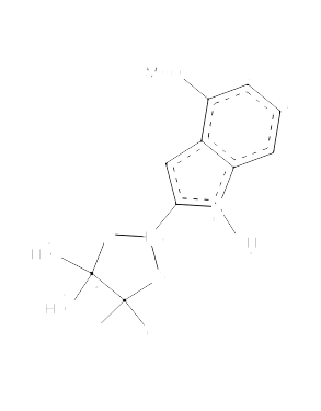 COc1cccc2c1cc(B1OC(C)(C)C(C)(C)O1)n2C